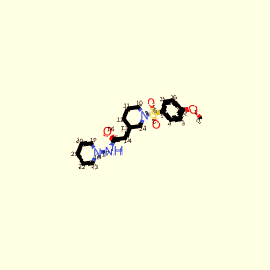 COc1ccc(S(=O)(=O)N2CCCC(CC(=O)NN3CCCCC3)C2)cc1